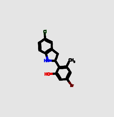 Cc1cc(Br)cc(O)c1C1Cc2cc(Cl)ccc2N1